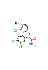 CC(C)(C)c1ccc(CC(C(N)=O)c2ccc(Cl)c(Cl)c2)cc1Cl